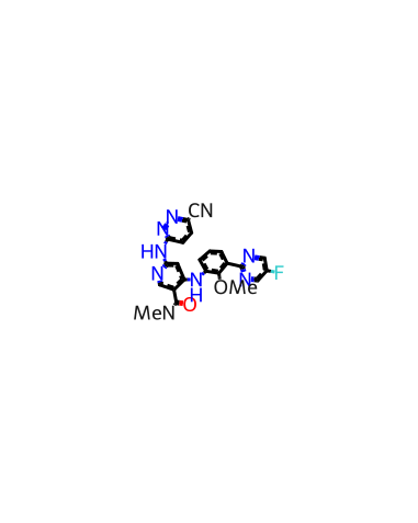 CNC(=O)c1cnc(Nc2ccc(C#N)nn2)cc1Nc1cccc(-c2ncc(F)cn2)c1OC